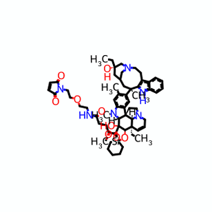 CC[C@]1(O)CC2CN(CCc3c([nH]c4ccccc34)[C@@](C)(c3cc4c(cc3C)N(C)[C@H]3[C@@](O)(C(=O)OC)[C@H](O[Si]5(CCCCC(=O)NCCOCCN6C(=O)C=CC6=O)CCCCC5)[C@]5(CC)C=CCN6CC[C@]43[C@@H]65)C2)C1